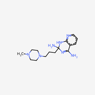 CN1CCN(CCCC2(N)N=C(N)c3cccnc3N2)CC1